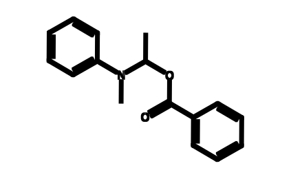 CC(OC(=O)c1ccccc1)N(C)c1ccccc1